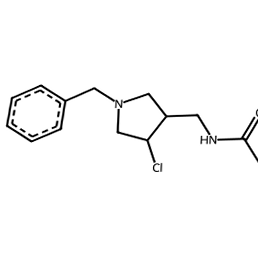 CC(=O)NCC1CN(Cc2ccccc2)CC1Cl